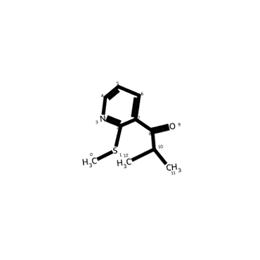 CSc1ncccc1C(=O)C(C)C